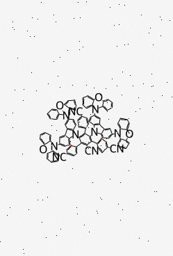 N#Cc1ccc(-c2c(C#N)c(-c3ccc(C#N)cc3)c(-n3c4ccc(N5c6ccccc6Oc6ccccc65)cc4c4cc(N5c6ccccc6Oc6ccccc65)ccc43)c(-c3ccc(C#N)cc3)c2-n2c3ccc(N4c5ccccc5Oc5ccccc54)cc3c3cc(N4c5ccccc5Oc5ccccc54)ccc32)cc1